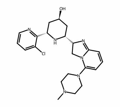 CN1CCN(C2=CC=CC3=NC([C@H]4C[C@H](O)C[C@@H](c5ncccc5Cl)N4)CN23)CC1